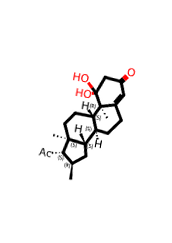 CC(=O)[C@H]1[C@H](C)C[C@H]2[C@@H]3CCC4=CC(=O)CC(O)(O)[C@]4(C)[C@H]3CC[C@@]21C